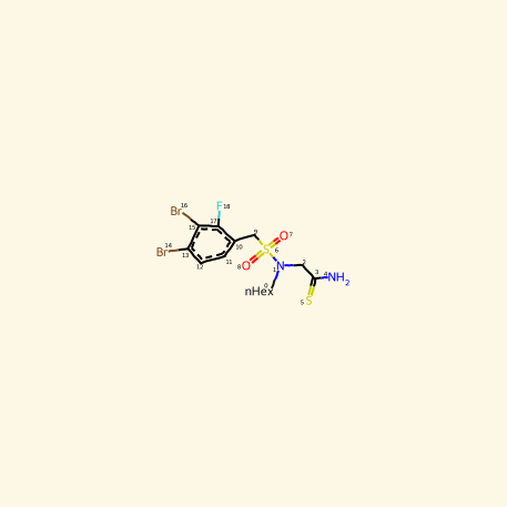 CCCCCCN(CC(N)=S)S(=O)(=O)Cc1ccc(Br)c(Br)c1F